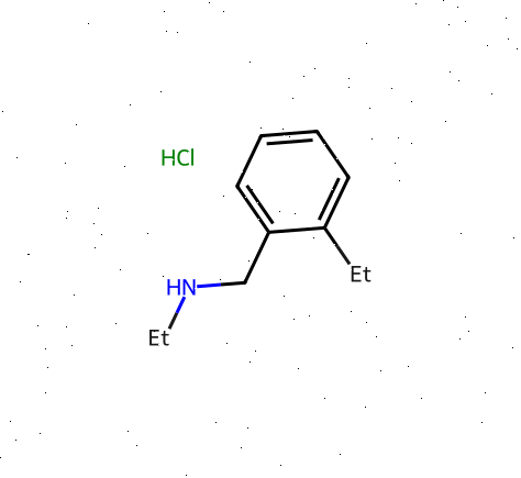 CCNCc1ccccc1CC.Cl